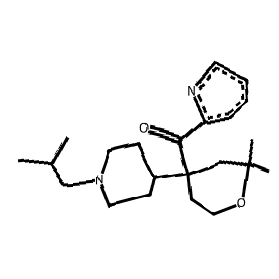 CC(C)CN1CCC(C2(C(=O)c3ccccn3)CCOC(C)(C)C2)CC1